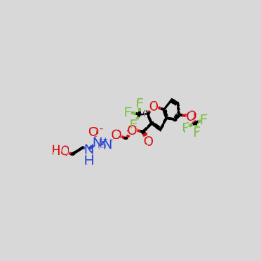 O=C(OCO/N=[N+](\[O-])NCCO)C1=Cc2cc(OC(F)(F)F)ccc2O[C@@H]1C(F)(F)F